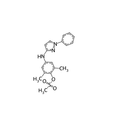 Cc1cc(Nc2ccn(-c3ccccc3)n2)cc(C)c1OS(C)(=O)=O